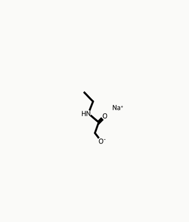 CCNC(=O)C[O-].[Na+]